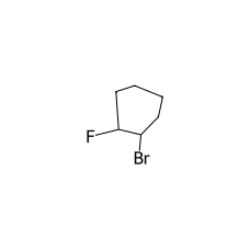 FC1CCCCC1Br